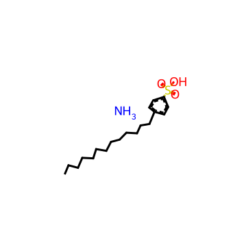 CCCCCCCCCCCCCc1ccc(S(=O)(=O)O)cc1.N